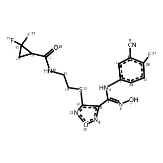 N#Cc1cc(N/C(=N\O)c2nonc2SCCNC(=O)C2CC2(F)F)ccc1F